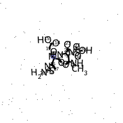 CNC(=O)C1C(NC(=O)/C(=N\OCC(=O)O)c2csc(N)n2)C(=O)N1S(=O)(=O)O